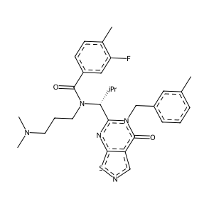 Cc1cccc(Cn2c([C@@H](C(C)C)N(CCCN(C)C)C(=O)c3ccc(C)c(F)c3)nc3sncc3c2=O)c1